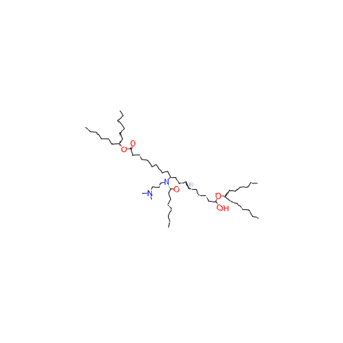 CCCCCCCC(=O)N(CCCN(C)C)C(CC/C=C/CCCCC(O)OC(CCCCCC)CCCCCC)CCCCCCCCC(=O)OC(CCCCCC)CCCCCC